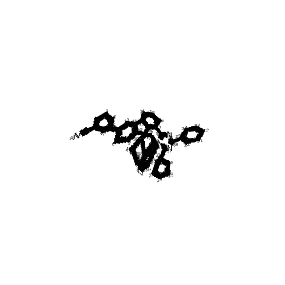 N#Cc1cccc(-c2ccc3c(c2)-c2cccc(-c4nc(-c5ccccc5)nc(-c5ccccc5)n4)c2C32C3CC4CC(C3)CC2C4)c1